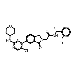 COc1ccccc1[C@@H](C)NC(=O)CN1Cc2ccc(-c3nc(NC4CCOCC4)ncc3Cl)cc2C1=O